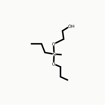 CCCO[Si](C)(CCC)OCCO